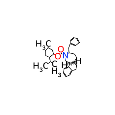 CC1CCC(C(C)C)C(OC(=O)N2C[C@@H]3c4ccccc4CC[C@@H]3CCC2Cc2ccccc2)C1